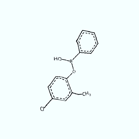 Cc1cc(Cl)ccc1OB(O)c1ccccc1